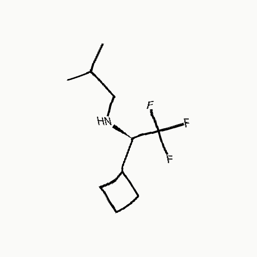 CC(C)CN[C@H](C1CCC1)C(F)(F)F